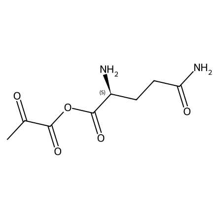 CC(=O)C(=O)OC(=O)[C@@H](N)CCC(N)=O